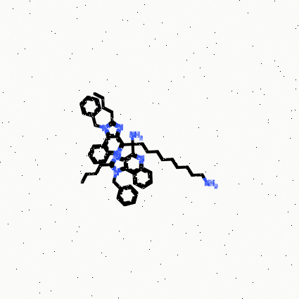 CCCCc1nc2c(C(N)(CCCCCCCCCN)c3nc4ccccc4c4c3nc(CCCC)n4Cc3ccccc3)nc3ccccc3c2n1Cc1ccccc1